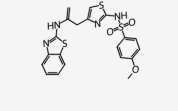 C=C(Cc1csc(NS(=O)(=O)c2ccc(OC)cc2)n1)Nc1nc2ccccc2s1